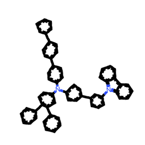 c1ccc(-c2ccc(-c3ccc(N(c4ccc(-c5cccc(-n6c7ccccc7c7ccccc76)c5)cc4)c4ccc(-c5ccccc5)c(-c5ccccc5)c4)cc3)cc2)cc1